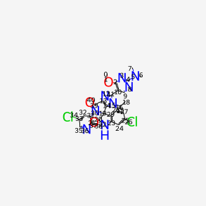 COc1nc(N(C)C)ncc1-c1nc2c(n1C(C)C)C1(C(=O)Nc3cc(Cl)ccc31)N(c1cc(Cl)cnc1C)C2=O